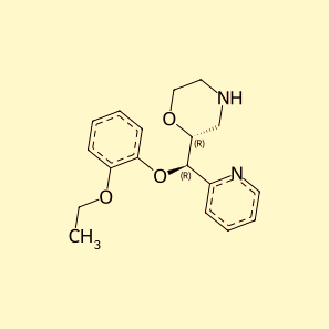 CCOc1ccccc1O[C@H](c1ccccn1)[C@H]1CNCCO1